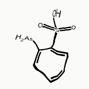 O=S(=O)(O)c1ccccc1[AsH2]